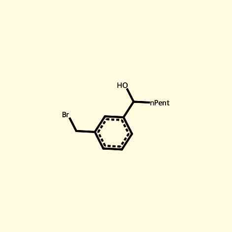 CCCCCC(O)c1cccc(CBr)c1